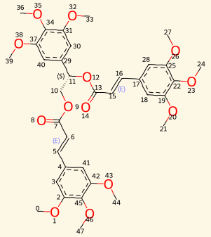 COc1cc(/C=C/C(=O)OC[C@@H](OC(=O)/C=C/c2cc(OC)c(OC)c(OC)c2)c2cc(OC)c(OC)c(OC)c2)cc(OC)c1OC